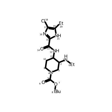 CCNC1CN(C(=O)OC(C)(C)C)CCC1NC(=O)c1nc(Cl)c(CC)[nH]1